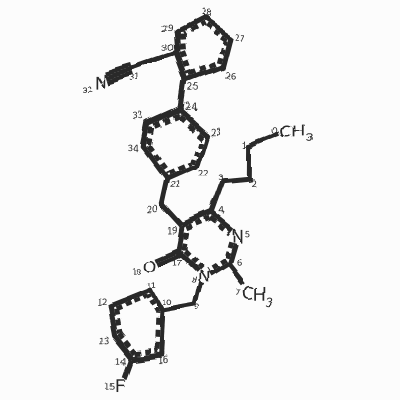 CCCCc1nc(C)n(Cc2cccc(F)c2)c(=O)c1Cc1ccc(-c2ccccc2C#N)cc1